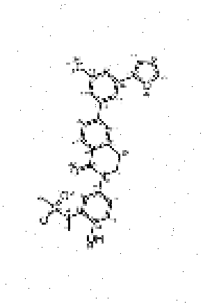 CS(=O)(=O)Nc1cc(N2CCc3cc(-c4cc(-c5ccco5)cc(C(F)(F)F)c4)ccc3C2=O)ccc1O